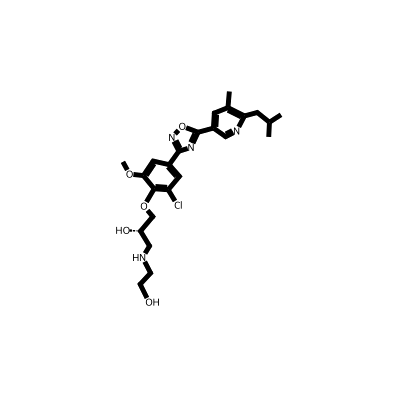 COc1cc(-c2noc(-c3cnc(CC(C)C)c(C)c3)n2)cc(Cl)c1OC[C@@H](O)CNCCO